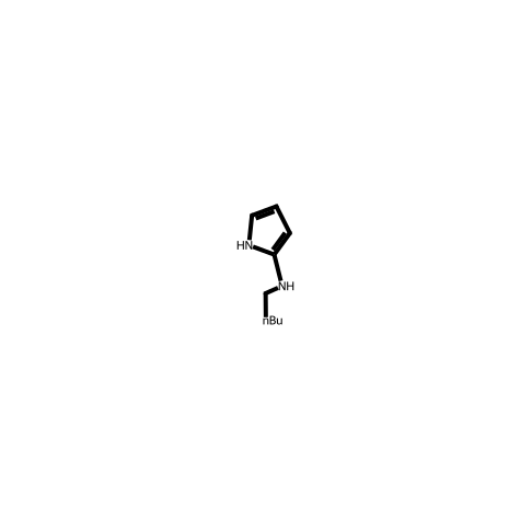 [CH2]CCCCNc1ccc[nH]1